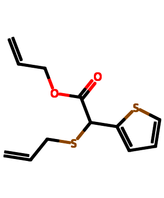 C=CCOC(=O)C(SCC=C)c1cccs1